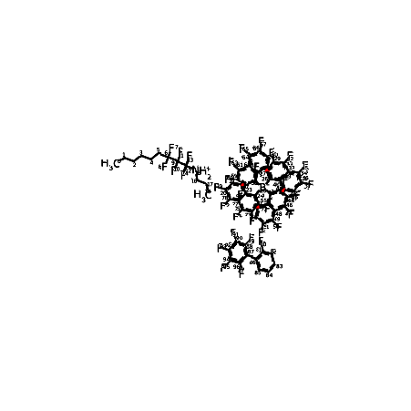 CCCCCCC(F)(F)C(F)(F)C(F)(F)[NH2+]CCC.Fc1ccc2c([B-](c3c(F)c(F)c(F)c4c(F)c(F)ccc34)(c3c(F)c(F)c(F)c4c(F)c(F)ccc34)c3c(F)c(F)c(F)c4c(F)c(F)ccc34)c(F)c(F)c(F)c2c1F.Fc1ccccc1-c1c(F)c(F)c(F)c(F)c1F